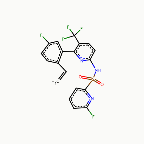 C=Cc1ccc(F)cc1-c1nc(NS(=O)(=O)c2cccc(F)n2)ccc1C(F)(F)F